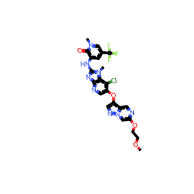 COCCOc1cn2ncc(Oc3cnc4nc(Nc5cc(C(F)(F)F)cn(C)c5=O)n(C)c4c3Cl)c2cn1